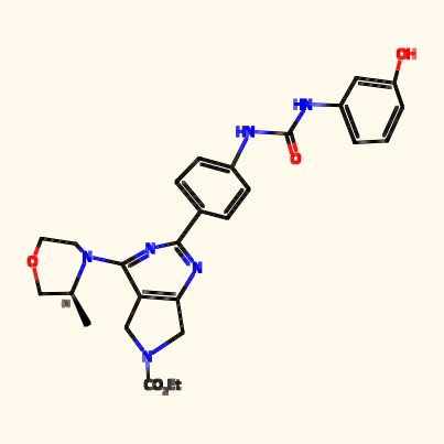 CCOC(=O)N1Cc2nc(-c3ccc(NC(=O)Nc4cccc(O)c4)cc3)nc(N3CCOC[C@@H]3C)c2C1